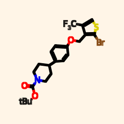 CC(C)(C)OC(=O)N1CCC(c2ccc(OCc3c(C(F)(F)F)csc3Br)cc2)CC1